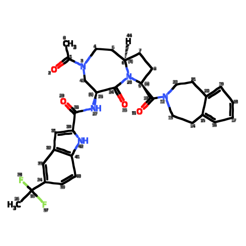 CC(=O)N1CC[C@H]2CC[C@@H](C(=O)N3CCc4ccccc4CC3)N2C(=O)[C@@H](NC(=O)c2cc3cc(C(C)(F)F)ccc3[nH]2)C1